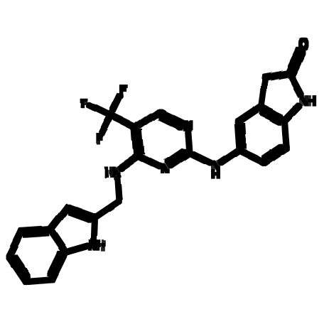 O=C1Cc2cc(Nc3ncc(C(F)(F)F)c(NCc4cc5ccccc5[nH]4)n3)ccc2N1